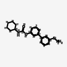 NSc1cccc(-c2cccc(OC(=O)NC3CCCCC3)c2)c1